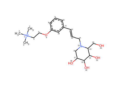 C[N+](C)(C)CCOc1cccc(/C=C/CN2CC(O)C(O)C(O)C2CO)c1